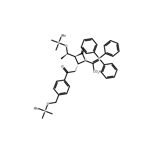 C[C@@H](O[Si](C)(C)C(C)(C)C)[C@H]1C(=O)N(C(C(=O)O)=P(c2ccccc2)(c2ccccc2)c2ccccc2)[C@@H]1CC(=O)c1ccc(CO[Si](C)(C)C(C)(C)C)cc1